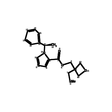 CSCC1(COC(=O)c2cncn2[C@H](C)c2ccccc2)COC1